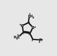 CC1=C(CC(C)C)OC(C)O1